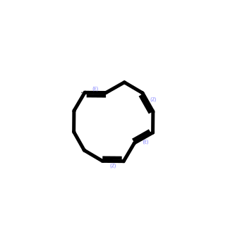 [C]1=C/C\C=C/C=C/C=C\CCC/1